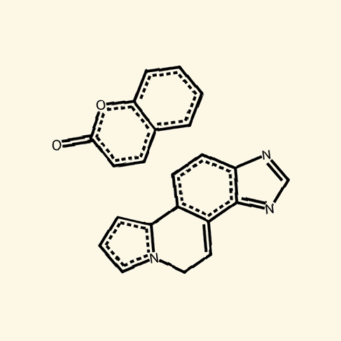 C1=Nc2ccc3c(c2=N1)=CCn1cccc1-3.O=c1ccc2ccccc2o1